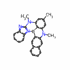 Cc1cc2c3c(c1)N(C)c1nc4ccccc4n1B3c1cc3ccccc3cc1N2C